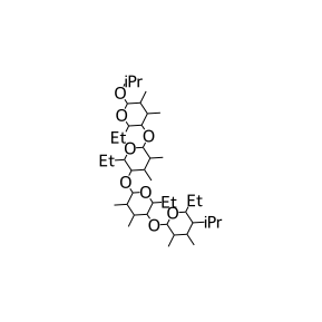 CCC1OC(OC(C)C)C(C)C(C)C1OC1OC(CC)C(OC2OC(CC)C(OC3OC(CC)C(C(C)C)C(C)C3C)C(C)C2C)C(C)C1C